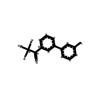 Cc1cccc(-c2cccc(C(=O)C(F)(F)F)c2)c1